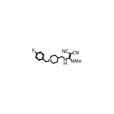 CNC(NCC1CCN(Cc2ccc(F)cc2)CC1)=C(C#N)C#N